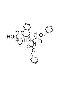 O=C(N=C(NC(=O)OCc1ccccc1)N[C@H](Cc1ccccc1)C(=O)N1CCC[C@H]1C(=O)O)OCc1ccccc1